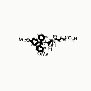 COc1ccc(C(OC[C@H](O)CNC(=O)CCCC(=O)O)(c2ccccc2)c2ccc(OC)cc2)cc1